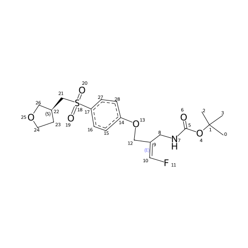 CC(C)(C)OC(=O)NC/C(=C\F)COc1ccc(S(=O)(=O)C[C@H]2CCOC2)cc1